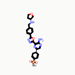 CCC(C)S(=O)(=O)C1=CC[C@@H](c2cnc(N)c(-c3nnc(-c4ccc(CN[C@@H]5CCOC5)cc4)o3)n2)C=C1